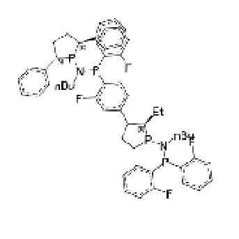 CCCCN(P(c1ccccc1F)c1ccccc1F)P1CCC(c2ccc(P(c3ccccc3F)N(CCCC)P3[C@H](c4ccccc4)CC[C@H]3c3ccccc3)c(F)c2)[C@H]1CC